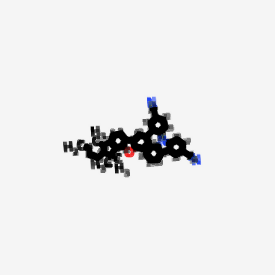 C=C/C=C\C1=C(C)c2ccc3c(oc4ccc(-c5cc(C#N)ccc5-n5c6ccccc6c6cc(C#N)ccc65)cc43)c2C1(C)C